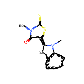 CCN1C(=O)C(=C2[Se]c3ccccc3N2C)SC1=S